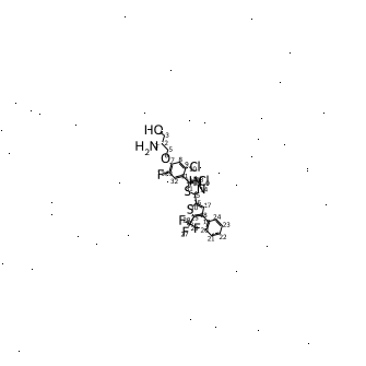 Cl.N[C@H](CO)COc1cc(Cl)c(-c2nnc(-c3cc(-c4ccccc4)c(C(F)(F)F)s3)s2)cc1F